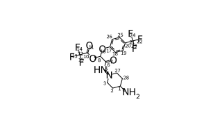 NC1CCN(NC(=O)C(OC(=O)C(F)(F)F)Oc2ccc(C(F)(F)F)cc2)CC1